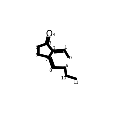 C/C=C1/C(=O)CC/C1=C/CCC